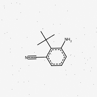 CC(C)(C)c1c(N)cccc1C#N